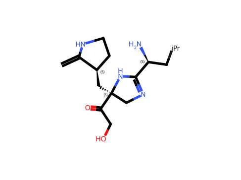 C=C1NCC[C@H]1C[C@@]1(C(=O)CO)CN=C([C@@H](N)CC(C)C)N1